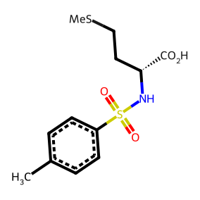 CSCC[C@@H](NS(=O)(=O)c1ccc(C)cc1)C(=O)O